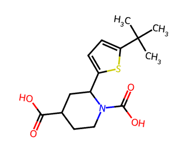 CC(C)(C)c1ccc(C2CC(C(=O)O)CCN2C(=O)O)s1